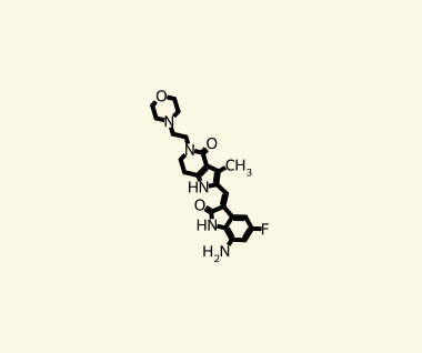 Cc1c(C=C2C(=O)Nc3c(N)cc(F)cc32)[nH]c2c1C(=O)N(CCN1CCOCC1)CC2